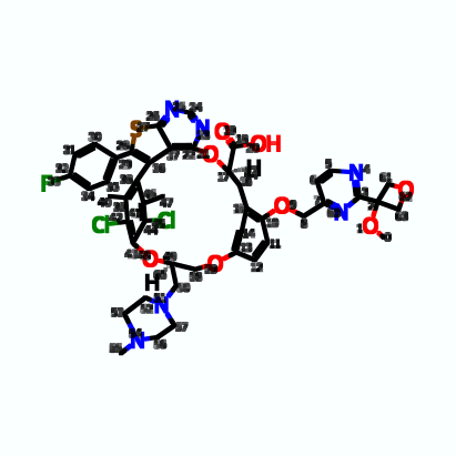 COC1(c2nccc(COc3ccc4cc3C[C@H](C(=O)O)Oc3ncnc5sc(-c6ccc(F)cc6)c(c35)-c3c(C)c(Cl)c(c(Cl)c3C)O[C@H](CN3CCN(C)CC3)CO4)n2)COC1